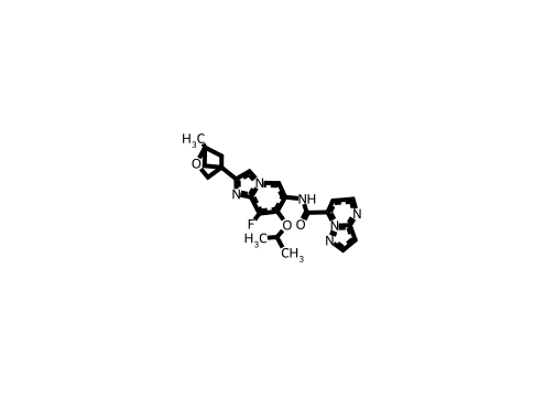 CC(C)Oc1c(NC(=O)c2ccnc3ccnn23)cn2cc(C34COC(C)(C3)C4)nc2c1F